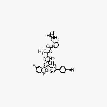 CC(OC(=O)N1CCC[C@H]1CN)C1=NN(C[C@](O)(c2cc(F)ccc2F)[C@@H](C)c2nc(-c3ccc(C#N)cc3)cs2)C=[N+]1.Cl.[Cl-]